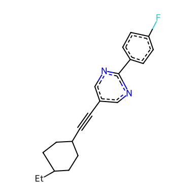 CCC1CCC(C#Cc2cnc(-c3ccc(F)cc3)nc2)CC1